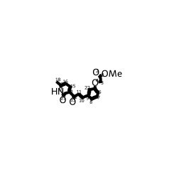 COC(=O)COc1cccc(C=CC(=O)c2ccc(C)[nH]c2=O)c1